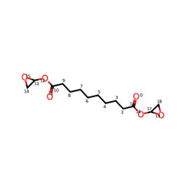 O=C(CCCCCCCCC(=O)OC1CO1)OC1CO1